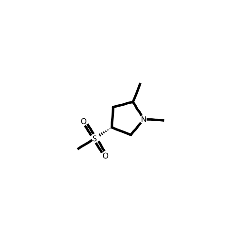 CC1C[C@@H](S(C)(=O)=O)CN1C